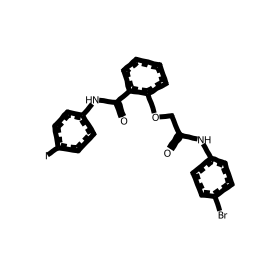 O=C(COc1ccccc1C(=O)Nc1ccc(I)cc1)Nc1ccc(Br)cc1